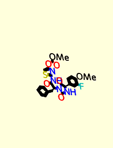 COC(=O)Oc1csc(NC(=O)[C@H](Cc2ccccc2)N2C(=O)N[C@H](c3ccc(OC)c(F)c3)C2=O)n1